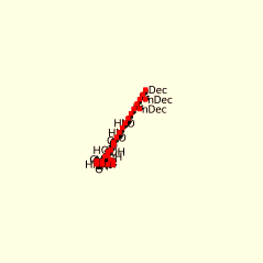 CCCCCCCCCCCCN(CCCCCCCCCCCC)CCCN(CCCCCCCCCCCC)CCCCCC(=O)NCCCNC(=O)CCC(=O)OCC(O)C(O)C(O)Cn1c2nc(=O)[nH]c(=O)c-2nc2cc(C)c(C)cc21